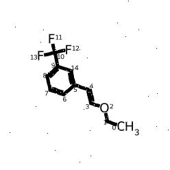 CCOC=Cc1cccc(C(F)(F)F)c1